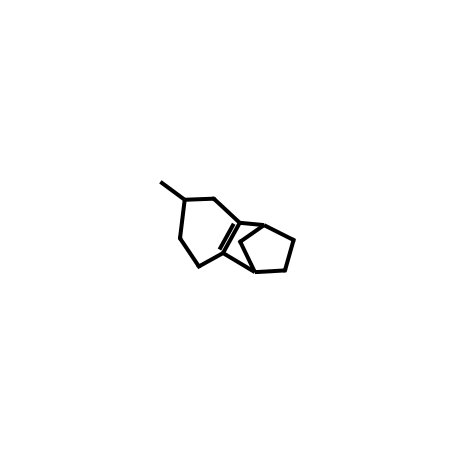 CC1CCC2=C(C1)C1CCC2C1